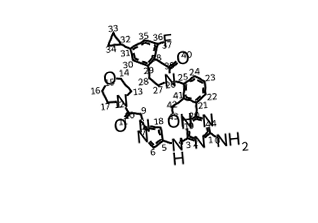 Nc1nc(Nc2cnn(CC(=O)N3CCOCC3)c2)nc(-c2cccc(N3CCc4cc(C5CC5)cc(F)c4C3=O)c2CO)n1